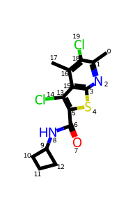 Cc1nc2sc(C(=O)NC3CCC3)c(Cl)c2c(C)c1Cl